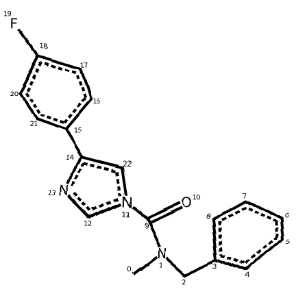 CN(Cc1ccccc1)C(=O)n1cnc(-c2ccc(F)cc2)c1